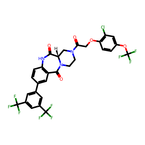 O=C1Nc2ccc(-c3cc(C(F)(F)F)cc(C(F)(F)F)c3)cc2C(=O)N2CCN(C(=O)COc3ccc(OC(F)(F)F)cc3Cl)C[C@@H]12